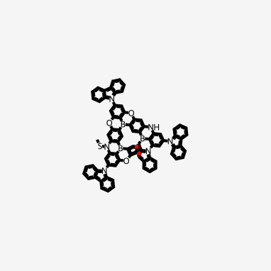 CSN1c2cc3c(cc2B2c4ccccc4Oc4cc(-n5c6ccccc6c6ccccc65)cc1c42)B1c2cc4c(cc2Oc2cc(-n5c6ccccc6c6ccccc65)cc(c21)O3)Nc1cc(-n2c3ccccc3c3ccccc32)cc2c1B4c1cccc3c4ccccc4n-2c13